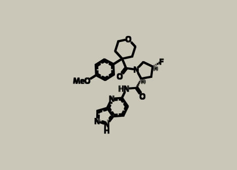 COc1ccc(C2(C(=O)N3C[C@H](F)C[C@@H]3C(=O)Nc3ccc4[nH]ncc4n3)CCOCC2)cc1